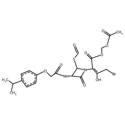 CC(=O)OCOC(=O)C(=C(O)CBr)N1C(=O)C(NC(=O)COc2ccc(C(C)C)cc2)C1SC=O